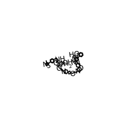 Cc1ncsc1-c1ccc([C@H](C)NC(=O)[C@@H]2C[C@@H](O)CN2C(C)OCCN2CCC3(CC2)CC(OCCN2CCOC4(CCN(c5cc(-c6ccccc6O)nnc5N)CC4)C2)C3)cc1